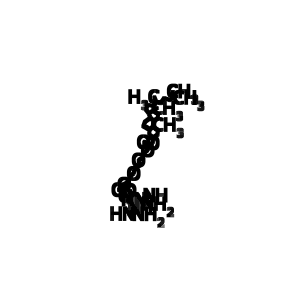 CC(C)CCCC(C)C1CCC2C3CC=C4CC(OC(=O)OCCOCCOCCOP(=O)(OCCNC(=N)N)OCCNC(=N)N)CCC4(C)C3CCC12C